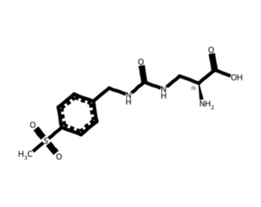 CS(=O)(=O)c1ccc(CNC(=O)NC[C@H](N)C(=O)O)cc1